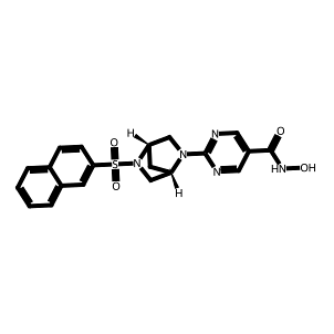 O=C(NO)c1cnc(N2C[C@@H]3C[C@H]2CN3S(=O)(=O)c2ccc3ccccc3c2)nc1